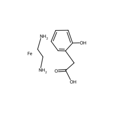 NCCN.O=C(O)Cc1ccccc1O.[Fe]